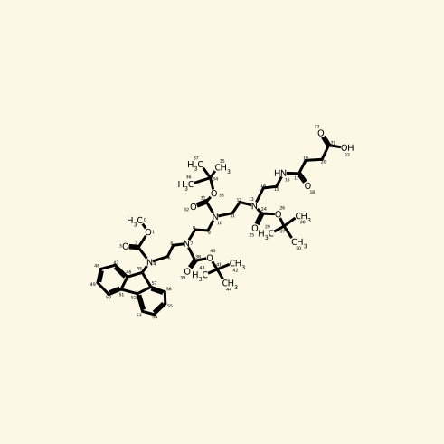 COC(=O)N(CCN(CCN(CCN(CCNC(=O)CCC(=O)O)C(=O)OC(C)(C)C)C(=O)OC(C)(C)C)C(=O)OC(C)(C)C)C1c2ccccc2-c2ccccc21